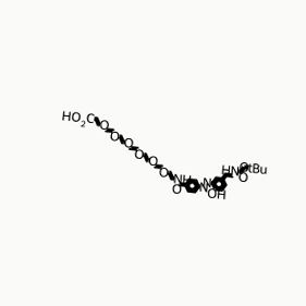 CC(C)(C)OC(=O)NCCc1ccc(O)c(/N=N/c2ccc(C(=O)NCCOCCOCCOCCOCCOCCOCCC(=O)O)cc2)c1